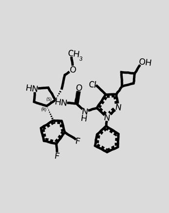 COCC[C@@]1(NC(=O)Nc2c(Cl)c(C3CC(O)C3)nn2-c2ccccc2)CNC[C@H]1c1ccc(F)c(F)c1